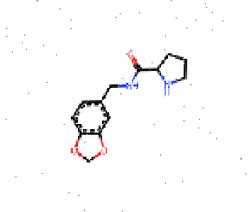 O=C(NCc1ccc2c(c1)OCO2)C1CCCN1